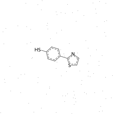 Sc1ccc(-c2nccs2)cc1